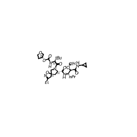 CCC[C@H](NC(=O)[C@@H]1C[C@]2(CC(CC)=NO2)CN1C(=O)[C@@H](NC(=O)O[C@@H]1CCOC1)C(C)(C)C)C(OO)C(=O)NC1CC1